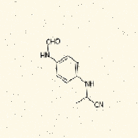 CC(C#N)Nc1ccc(NC=O)cc1